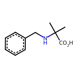 CC(C)(NCc1ccccc1)C(=O)O